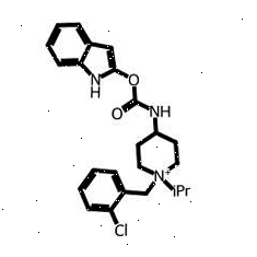 CC(C)[N+]1(Cc2ccccc2Cl)CCC(NC(=O)Oc2cc3ccccc3[nH]2)CC1